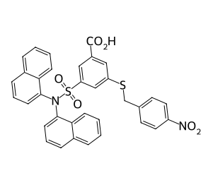 O=C(O)c1cc(SCc2ccc([N+](=O)[O-])cc2)cc(S(=O)(=O)N(c2cccc3ccccc23)c2cccc3ccccc23)c1